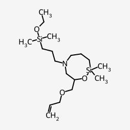 C=CCOCC1CN(CCC[Si](C)(C)OCC)CCC[Si](C)(C)O1